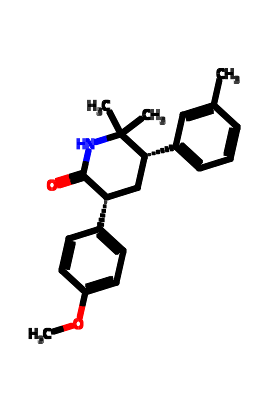 COc1ccc([C@H]2C[C@@H](c3cccc(C)c3)C(C)(C)NC2=O)cc1